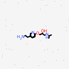 CC(C)NCC(O)COc1ccc(CCN)cn1